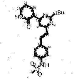 CC(C)(C)c1nc(/C=C/c2ccc(NS(C)(=O)=O)cc2)cc(-c2ccc[nH]c2=O)n1